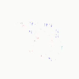 COCCOc1cc([C@@H](Oc2nn(C)c3nnc(-c4cnc(OC(C)(C)C)nc4OC(C)(C)C)cc23)C(F)F)ccn1